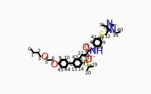 CCCCOCCOc1ccc(-c2ccc([S+]([O-])C(C)C)c(/C=C/C(=O)Nc3ccc(SCc4c(C)ncn4CC)cc3)c2)cc1